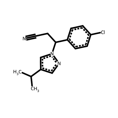 CC(C)c1cnn(C(CC#N)c2ccc(Cl)cc2)c1